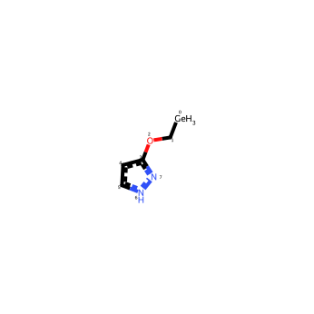 [GeH3][CH2]Oc1cc[nH]n1